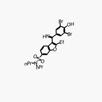 CCCN(CCC)S(=O)(=O)c1ccc2c(C(=N)c3cc(Br)c(O)c(Br)c3)c(CC)oc2c1